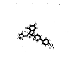 CCOc1ccc(-c2ccc(C(F)(F)[C@](O)(Cn3cnnn3)c3ccc(F)cc3F)nc2)cc1